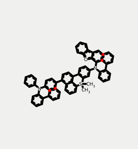 C[Si]1(C)c2cc(N(c3ccccc3-c3ccccc3)c3cccc4c3oc3ccccc34)ccc2-c2ccc(-c3ccc(N(c4ccccc4)c4ccccc4-c4ccccc4)cc3)c3cccc1c23